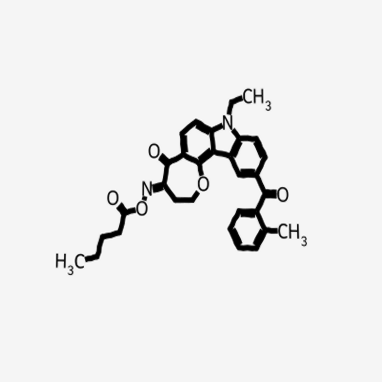 CCCCC(=O)O/N=C1\CCOc2c(ccc3c2c2cc(C(=O)c4ccccc4C)ccc2n3CC)C1=O